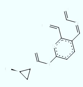 C=C/N=C\c1ccc(NC(=O)[C@@H]2C[C@H]2C)nc1C=C